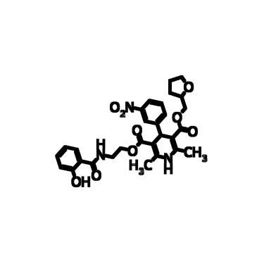 CC1=C(C(=O)OCCNC(=O)c2ccccc2O)C(c2cccc([N+](=O)[O-])c2)C(C(=O)OCC2CCCO2)=C(C)N1